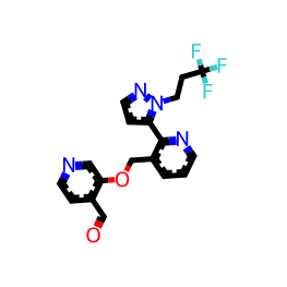 O=Cc1ccncc1OCc1cccnc1-c1ccnn1CCC(F)(F)F